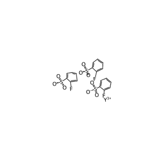 O=S(=O)([O-])c1ccccc1F.O=S(=O)([O-])c1ccccc1F.O=S(=O)([O-])c1ccccc1F.[Y+3]